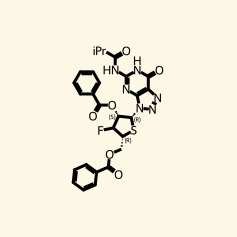 CC(C)C(=O)Nc1nc2c(nnn2[C@@H]2S[C@H](COC(=O)c3ccccc3)C(F)[C@@H]2OC(=O)c2ccccc2)c(=O)[nH]1